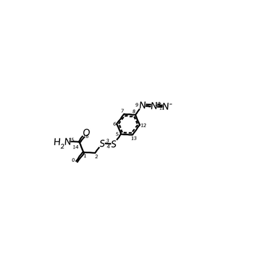 C=C(CSSc1ccc(N=[N+]=[N-])cc1)C(N)=O